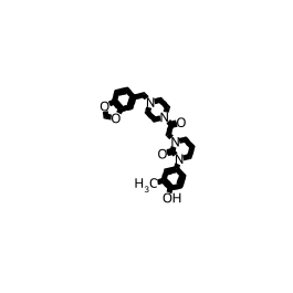 Cc1cc(N2CCCN(CC(=O)N3CCN(Cc4ccc5c(c4)OCO5)CC3)C2=O)ccc1O